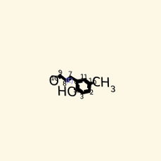 Cc1ccc(O)c(/C=C/C=O)c1